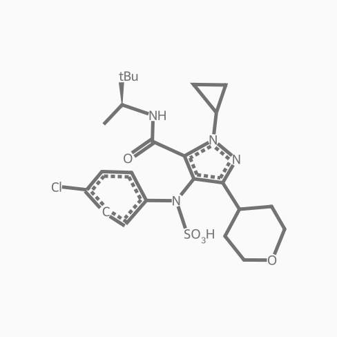 C[C@H](NC(=O)c1c(N(c2ccc(Cl)cc2)S(=O)(=O)O)c(C2CCOCC2)nn1C1CC1)C(C)(C)C